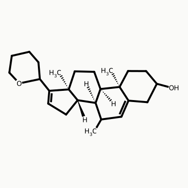 CC1C=C2CC(O)CC[C@]2(C)[C@@H]2CC[C@]3(C)C(C4CCCCO4)=CC[C@H]3[C@H]12